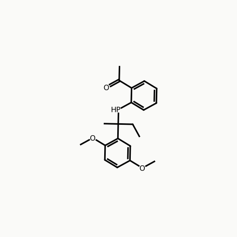 CCC(C)(Pc1ccccc1C(C)=O)c1cc(OC)ccc1OC